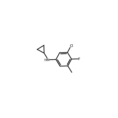 Cc1cc(NC2CC2)cc(Cl)c1F